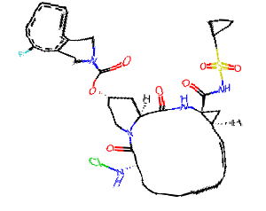 O=C1N[C@]2(C(=O)NS(=O)(=O)C3CC3)C[C@H]2/C=C\CCCCC[C@H](NCl)C(=O)N2C[C@H](OC(=O)N3Cc4cccc(F)c4C3)C[C@@H]12